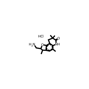 Cc1cc2c(c3c1NC(=O)C(C)(C)C3)OC(CN)C2C.Cl